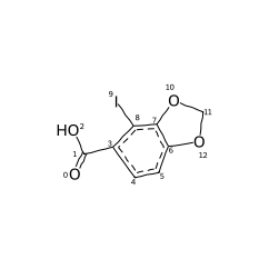 O=C(O)c1ccc2c(c1I)OCO2